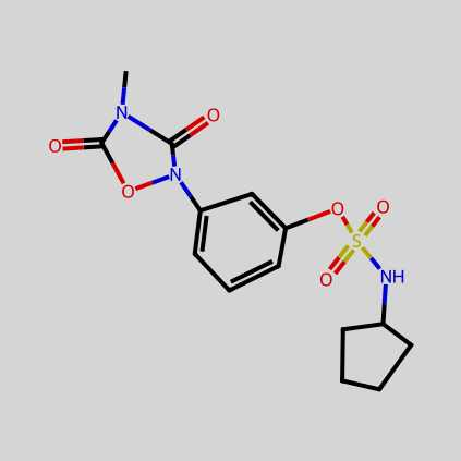 Cn1c(=O)on(-c2cccc(OS(=O)(=O)NC3CCCC3)c2)c1=O